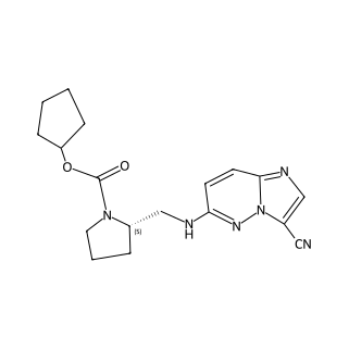 N#Cc1cnc2ccc(NC[C@@H]3CCCN3C(=O)OC3CCCC3)nn12